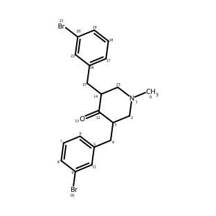 CN1CC(Cc2cccc(Br)c2)C(=O)C(Cc2cccc(Br)c2)C1